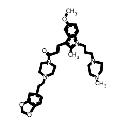 COc1ccc2c(c1)c(/C=C/C(=O)N1CCN(CCc3ccc4c(c3)OCO4)CC1)c(C)n2CCCN1CCN(C)CC1